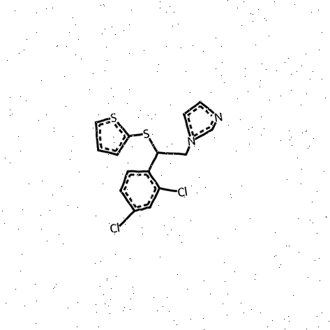 Clc1ccc(C(Cn2ccnc2)Sc2cccs2)c(Cl)c1